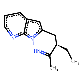 CC[C@H](Cc1cc2cccnc2[nH]1)C(C)=N